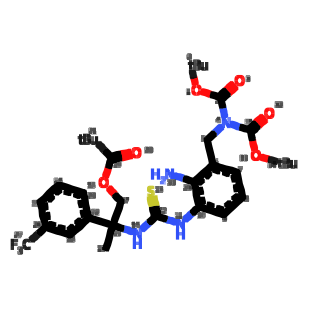 CC(C)(C)OC(=O)N(Cc1cccc(NC(=S)NC(C)(COC(=O)C(C)(C)C)c2cccc(C(F)(F)F)c2)c1N)C(=O)OC(C)(C)C